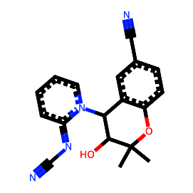 CC1(C)Oc2ccc(C#N)cc2C(n2ccccc2=NC#N)C1O